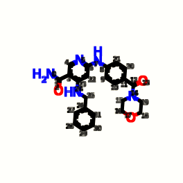 NC(=O)c1cnc(Nc2ccc(C(=O)N3CCOCC3)cc2)cc1NCc1ccccc1